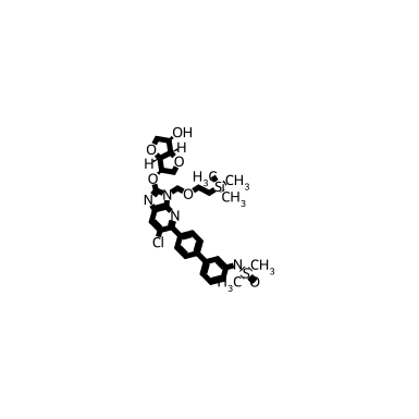 C[Si](C)(C)CCOCn1c(O[C@@H]2CO[C@H]3[C@@H]2OC[C@H]3O)nc2cc(Cl)c(-c3ccc(-c4cccc(N=S(C)(C)=O)c4)cc3)nc21